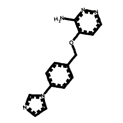 Nc1nnccc1OCc1ccc(-n2ccnc2)cc1